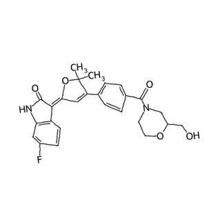 CC1(C)OC(=C2C(=O)Nc3cc(F)ccc32)C=C1c1ccc(C(=O)N2CCOC(CO)C2)cc1